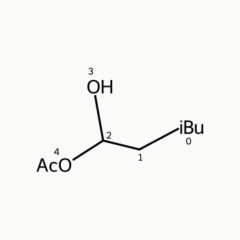 CCC(C)CC(O)OC(C)=O